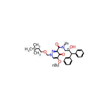 CCCCOc1cn(COCC[Si](C)(C)C)nc(C(=O)N(C[C@H](O)C(c2ccccc2)c2ccccc2)C(C)C)c1=O